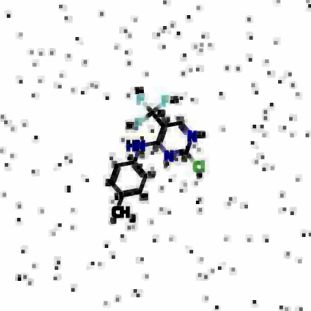 Cc1ccc(Nc2nc(Cl)ncc2C(F)(F)F)cc1